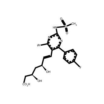 CC(C)c1nc(NS(C)(=O)=O)nc(-c2ccc(F)cc2)c1/C=C/[C@@H](O)C[C@@H](O)CC(=O)O